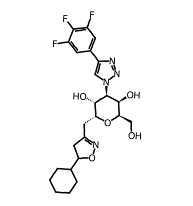 OC[C@H]1O[C@H](CC2=NOC(C3CCCCC3)C2)[C@H](O)[C@@H](n2cc(-c3cc(F)c(F)c(F)c3)nn2)[C@H]1O